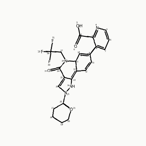 O=C(O)c1ncccc1C1=CC2C(=C3NN(C4CCCCO4)C=C3C(=O)N2CC(F)(F)F)C=C1